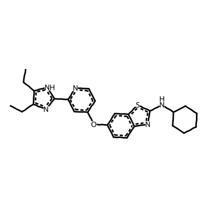 CCc1nc(-c2cc(Oc3ccc4nc(NC5CCCCC5)sc4c3)ccn2)[nH]c1CC